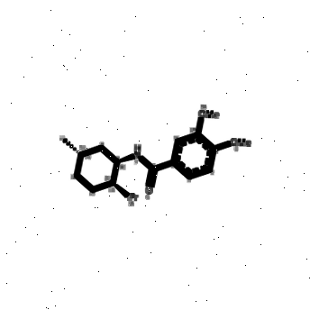 COc1ccc(C(=O)N[C@@H]2C[C@@H](C)CC[C@@H]2C(C)C)cc1OC